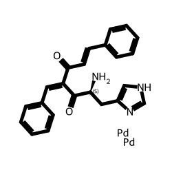 N[C@@H](Cc1c[nH]cn1)C(=O)C(=Cc1ccccc1)C(=O)C=Cc1ccccc1.[Pd].[Pd]